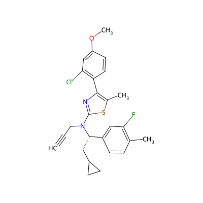 C#CCN(c1nc(-c2ccc(OC)cc2Cl)c(C)s1)[C@@H](CC1CC1)c1ccc(C)c(F)c1